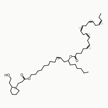 CC/C=C\C/C=C\C/C=C\C/C=C\C/C=C\CCCC(=O)OC(C/C=C\CCCCCCCCOC(=O)CCN1CCCCC1CCO)CCCCCC